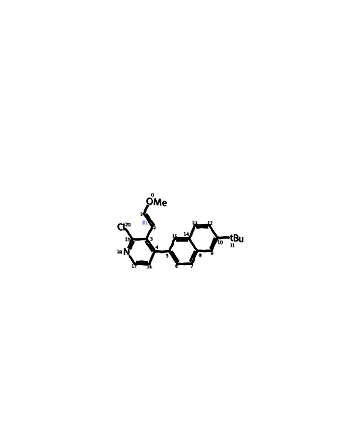 CO/C=C/c1c(-c2ccc3cc(C(C)(C)C)ccc3c2)ccnc1Cl